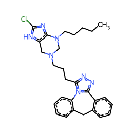 CCCCCN1CN(CCCc2nnc3n2-c2ccccc2Cc2ccccc2-3)Cc2[nH]c(Cl)nc21